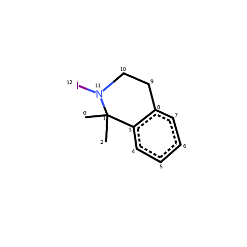 CC1(C)c2ccccc2CCN1I